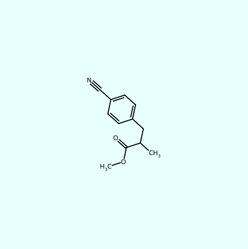 COC(=O)C(C)Cc1ccc(C#N)cc1